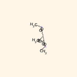 CCCCCC/C=C\COC(=O)CCCCCCCC(CCCCCCCC(=O)OC/C=C\CCCCCC)CCCCCN(C)C